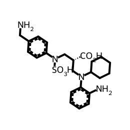 NCc1ccc(N(C[C@@H](CN(c2ccccc2N)C2CCCCC2)C(=O)O)S(=O)(=O)O)cc1